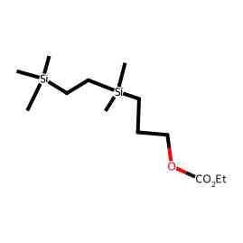 CCOC(=O)OCCC[Si](C)(C)CC[Si](C)(C)C